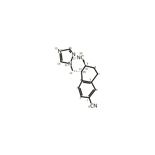 N#Cc1ccc2c(c1)CC[C@H](C#N)[C@H]2Cn1cncn1